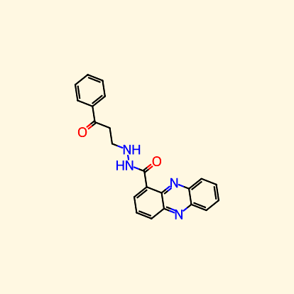 O=C(CCNNC(=O)c1cccc2nc3ccccc3nc12)c1ccccc1